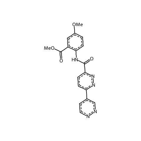 COC(=O)c1cc(OC)ccc1NC(=O)c1ccc(-c2ccnnc2)nn1